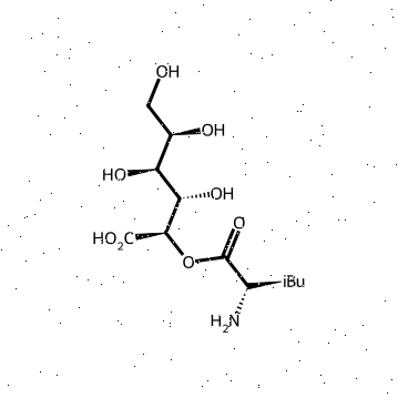 CC[C@H](C)[C@H](N)C(=O)O[C@@H](C(=O)O)[C@@H](O)[C@@H](O)[C@H](O)CO